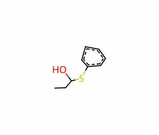 CCC(O)Sc1ccccc1